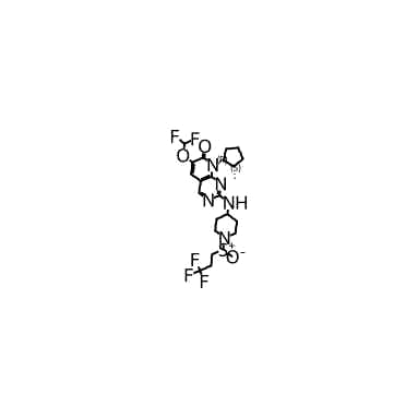 C[C@H]1CCC[C@H]1n1c(=O)c(OC(F)F)cc2cnc(NC3CCN([S+]([O-])CCC(F)(F)F)CC3)nc21